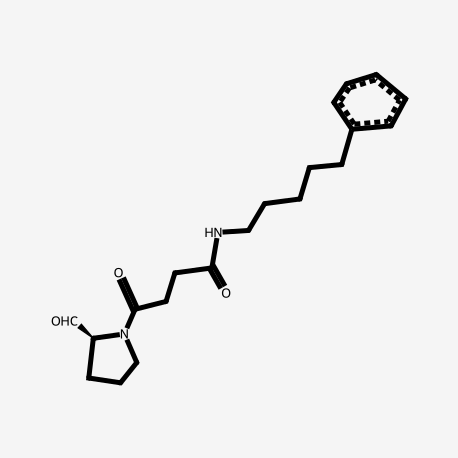 O=C[C@@H]1CCCN1C(=O)CCC(=O)NCCCCCc1ccccc1